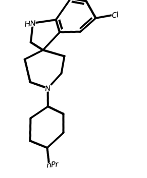 CCCC1CCC(N2CCC3(CC2)CNc2ccc(Cl)cc23)CC1